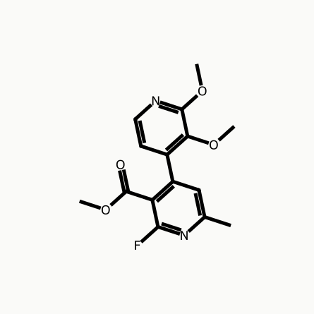 COC(=O)c1c(-c2ccnc(OC)c2OC)cc(C)nc1F